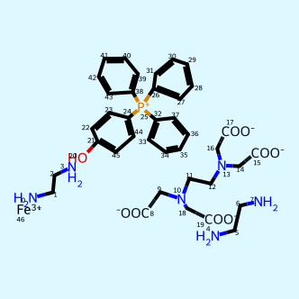 NCCN.NCCN.O=C([O-])CN(CCN(CC(=O)[O-])CC(=O)[O-])CC(=O)[O-].Oc1ccc([P+](c2ccccc2)(c2ccccc2)c2ccccc2)cc1.[Fe+3]